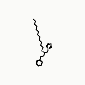 CCCCCCCCCCCCOC(CCc1ccccc1)Cn1ccnc1